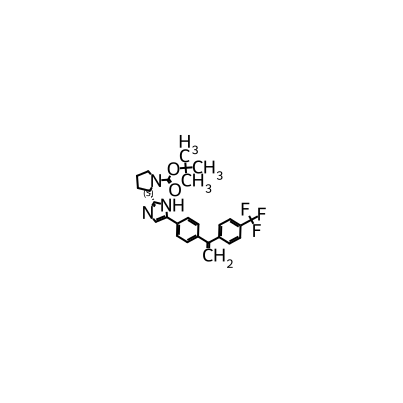 C=C(c1ccc(-c2cnc([C@@H]3CCCN3C(=O)OC(C)(C)C)[nH]2)cc1)c1ccc(C(F)(F)F)cc1